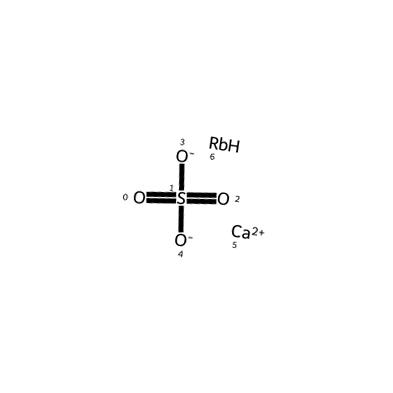 O=S(=O)([O-])[O-].[Ca+2].[RbH]